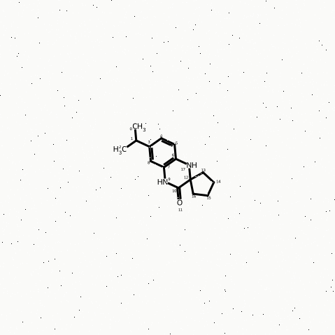 CC(C)c1ccc2c(c1)NC(=O)C1(CCCC1)N2